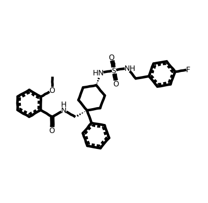 COc1ccccc1C(=O)NC[C@]1(c2ccccc2)CC[C@H](NS(=O)(=O)NCc2ccc(F)cc2)CC1